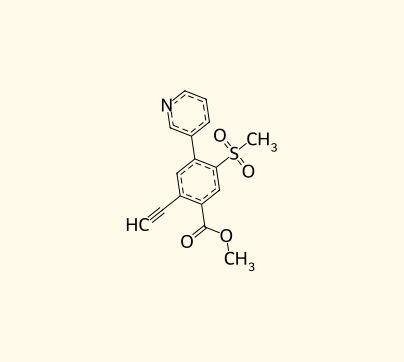 C#Cc1cc(-c2cccnc2)c(S(C)(=O)=O)cc1C(=O)OC